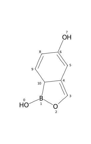 OB1OC=C2C=C(O)C=CC12